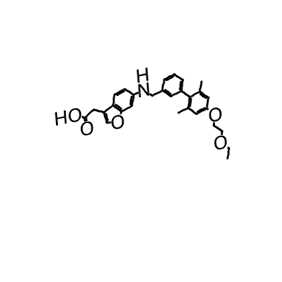 CCOCCOc1cc(C)c(-c2cccc(CNc3ccc4c(CC(=O)O)coc4c3)c2)c(C)c1